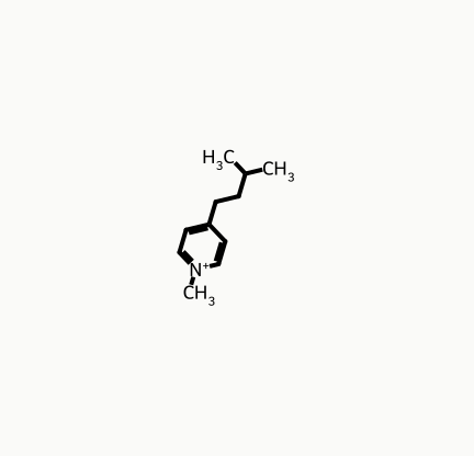 CC(C)CCc1cc[n+](C)cc1